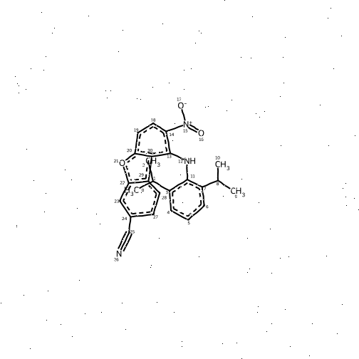 CC(C)c1cccc(C(C)C)c1Nc1c([N+](=O)[O-])ccc2oc3cc(C#N)ccc3c12